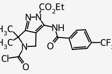 CCOC(=O)n1nc2c(c1NC(=O)c1ccc(C(F)(F)F)cc1)CN(C(=O)Cl)C2(C)C